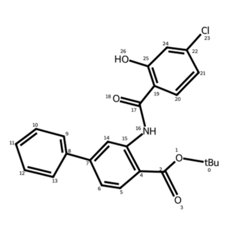 CC(C)(C)OC(=O)c1ccc(-c2ccccc2)cc1NC(=O)c1ccc(Cl)cc1O